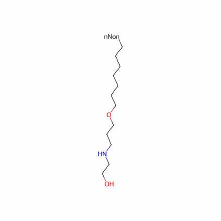 CCCCCCCCCCCCCCCCOCCCNCCO